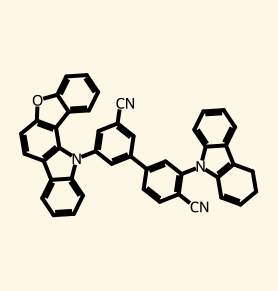 N#Cc1cc(-c2ccc(C#N)c(-n3c4c(c5ccccc53)CCC=C4)c2)cc(-n2c3ccccc3c3ccc4oc5ccccc5c4c32)c1